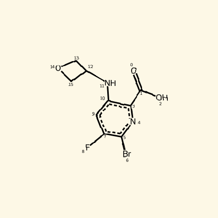 O=C(O)c1nc(Br)c(F)cc1NC1COC1